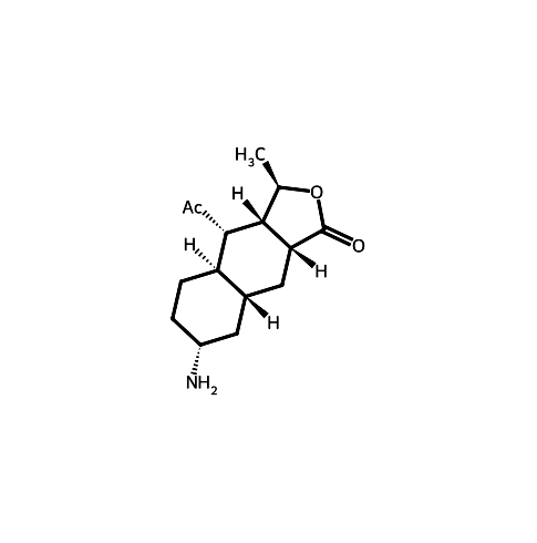 CC(=O)[C@H]1[C@@H]2CC[C@@H](N)C[C@H]2C[C@H]2C(=O)O[C@H](C)[C@@H]12